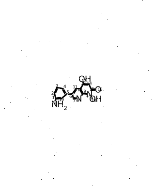 Nc1cccc(-c2cnc3c(c2)c(O)cc(=O)n3O)c1